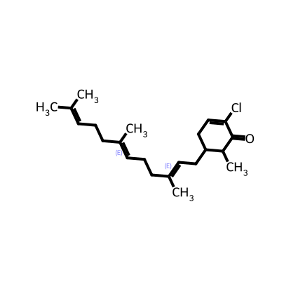 CC(C)=CCC/C(C)=C/CC/C(C)=C/CC1CC=C(Cl)C(=O)C1C